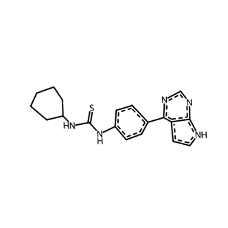 S=C(Nc1ccc(-c2ncnc3[nH]ccc23)cc1)NC1CCCCC1